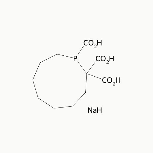 O=C(O)P1CCCCCCCC1(C(=O)O)C(=O)O.[NaH]